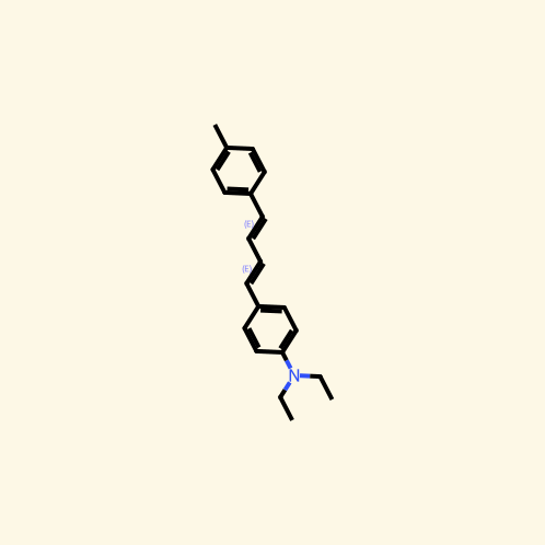 CCN(CC)c1ccc(/C=C/C=C/c2ccc(C)cc2)cc1